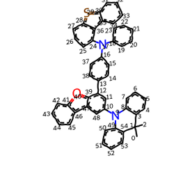 CC1(C)c2ccccc2N(c2cc(-c3ccc(N(c4ccccc4)c4cccc5sc6ccccc6c45)cc3)c3oc4ccccc4c3c2)c2ccccc21